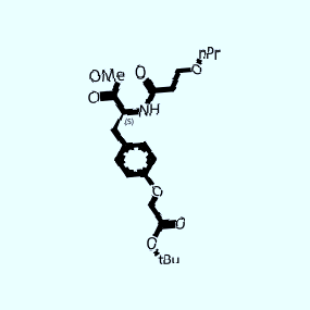 CCCOCCC(=O)N[C@@H](Cc1ccc(OCC(=O)OC(C)(C)C)cc1)C(=O)OC